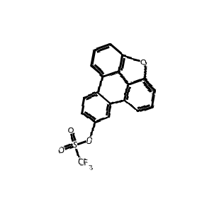 O=S(=O)(Oc1ccc2c(c1)c1cccc3oc4cccc2c4c31)C(F)(F)F